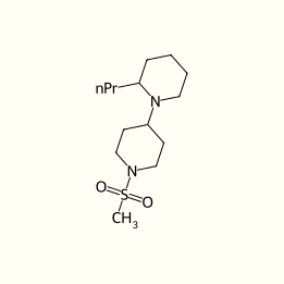 CCCC1CCCCN1C1CCN(S(C)(=O)=O)CC1